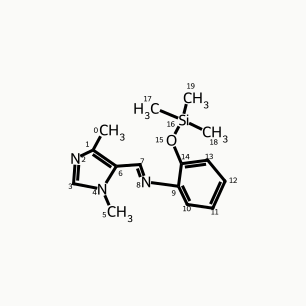 Cc1ncn(C)c1C=Nc1ccccc1O[Si](C)(C)C